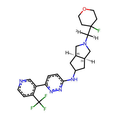 [2H]C([2H])(N1C[C@H]2CC(Nc3ccc(-c4cnccc4C(F)(F)F)nn3)C[C@H]2C1)C1(F)CCOCC1